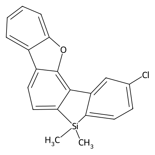 C[Si]1(C)c2ccc(Cl)cc2-c2c1ccc1c2oc2ccccc21